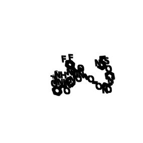 CN[C@@H](C)C(=O)N[C@H](C(=O)N1CCN(C(=O)c2c(C(=O)NCCOCCOc3cc(CN4CCC(Oc5ccnc6ccsc56)CC4)on3)c3cc(F)c(F)cc3n2C)CC1)C1CCCCC1